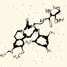 CCOc1cc2c(cc1OC)-c1c/c(=N\c3c(C)cc(C)cc3C)n(CCNC(=O)C(=N)/C(O)=C\O)c(=O)n1CC2